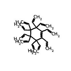 C=CC1=C(C=C)C(C=C)(C=C)C(C=C)(C=C)C(C=C)(C=C)C1(C=C)C=C